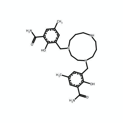 Cc1cc(CN2CCCNCCCN(Cc3cc(C)cc(C(N)=O)c3O)CC2)c(O)c(C(N)=O)c1